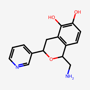 NCC1OC(c2cccnc2)Cc2c1ccc(O)c2O